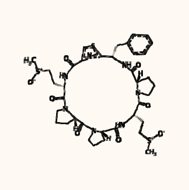 C[S+]([O-])CC[C@@H]1NC(=O)[C@@H]2CCCN2C(=O)[C@@H]2CCCN2C(=O)[C@H](CC[S+](C)[O-])NC(=O)c2csc(n2)[C@H](Cc2ccccc2)NC(=O)[C@@H]2CCCN2C1=O